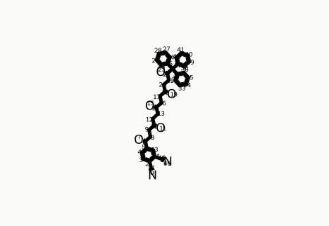 N#Cc1ccc(C(=O)CCC(=O)CCC(=O)CCC(=O)CCC(=O)C(c2ccccc2)(c2ccccc2)c2ccccc2)cc1C#N